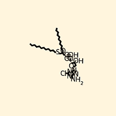 CCCCCCCCCCCCSCC(COP(=O)(O)OC[C@H]1O[C@@H](n2cnc3c(N)nc(Cl)nc32)C[C@@H]1O)OCCCCCCCCCC